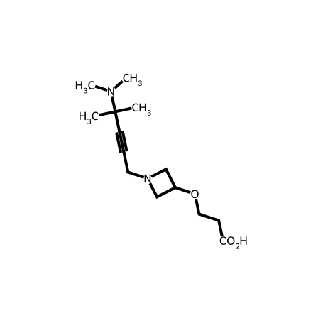 CN(C)C(C)(C)C#CCN1CC(OCCC(=O)O)C1